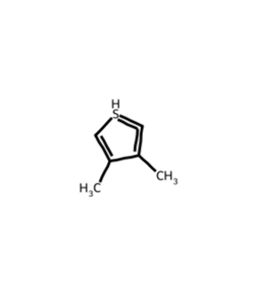 CC1=C=[SH]C=C1C